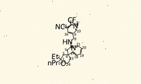 CCCC1(CC)C[C@](CCNCc2cnc(C(F)(F)F)c(C#N)c2)(c2ccccn2)CCO1